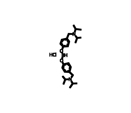 CC(C)N(Cc1ccc(OBOc2ccc(CN(C(C)C)C(C)C)cc2)cc1)C(C)C.Cl